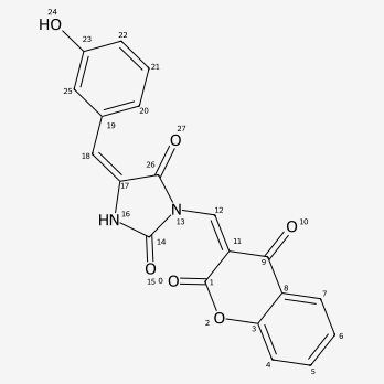 O=C1Oc2ccccc2C(=O)C1=CN1C(=O)NC(=Cc2cccc(O)c2)C1=O